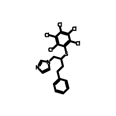 Clc1c(Cl)c(Cl)c(SC(CCc2ccccc2)Cn2ccnc2)c(Cl)c1Cl